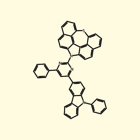 c1ccc(-c2cc(-c3ccc4c(c3)c3ccccc3n4-c3ccccc3)nc(-n3c4ccc5cccc6sc7cccc8ccc3c(c87)c4c56)n2)cc1